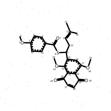 COc1ccc(C(=O)SC(CC=C(C)C)c2cc(OC)c3c(c2OC)C(=O)C=CC3=O)cc1